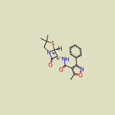 Cc1onc(-c2ccccc2)c1C(=O)N[C@@H]1C(=O)N2CC(C)(C)S[C@H]12